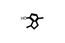 Cc1ccc(O)c2c1CCC2C